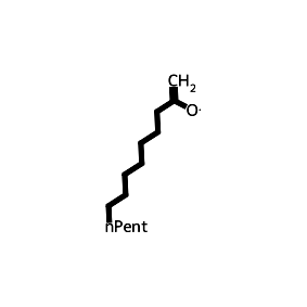 C=C([O])CCCCCCCCCCCC